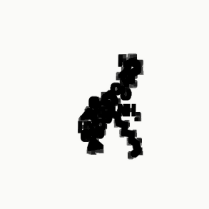 C/C=C\CCCCC[C@H](N)C(=O)N1C[C@H](OC(=O)N2Cc3cccc(F)c3C2)C[C@H]1C(=O)NC1(C(=O)NS(=O)(=O)C2CC2)CC1